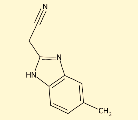 Cc1ccc2[nH]c(CC#N)nc2c1